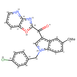 COc1ccc2c(c1)c(C(=O)c1nc3ncccc3o1)cn2Cc1ccc(Cl)cc1